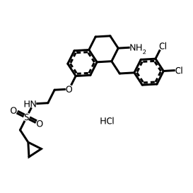 Cl.NC1CCc2ccc(OCCNS(=O)(=O)CC3CC3)cc2C1Cc1ccc(Cl)c(Cl)c1